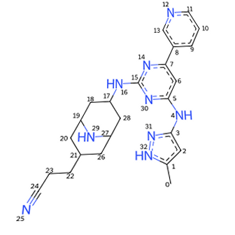 Cc1cc(Nc2cc(-c3cccnc3)nc(NC3CC4CC(CCC#N)CC(C3)N4)n2)n[nH]1